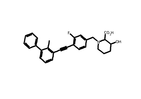 Cc1c(C#Cc2ccc(CN3CCCC(O)C3C(=O)O)cc2F)cccc1-c1ccccc1